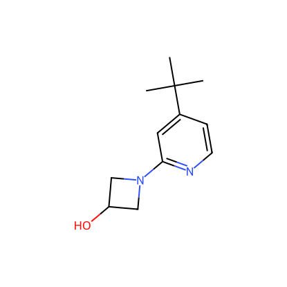 CC(C)(C)c1ccnc(N2CC(O)C2)c1